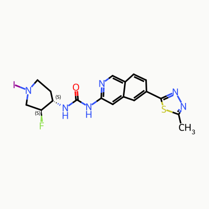 Cc1nnc(-c2ccc3cnc(NC(=O)N[C@H]4CCN(I)C[C@@H]4F)cc3c2)s1